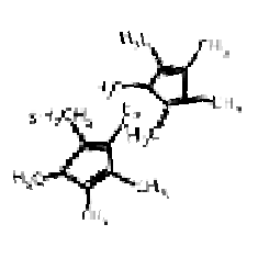 CC1=C(C)C(C)C(C)=C1C.CC1=C(C)C(C)C(C)=C1C.[SrH2]